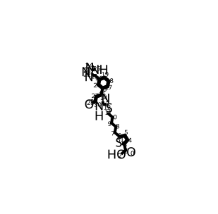 O=C(O)c1ccc(CCCCCSc2nc(-c3cccc(-c4nnn[nH]4)c3)cc(=O)[nH]2)s1